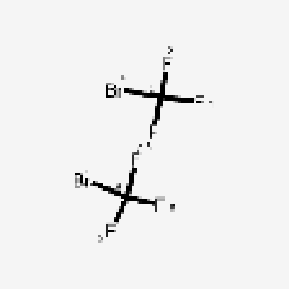 FC(F)(F)Br.FC(F)(F)Br